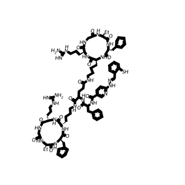 CC[C@@H]1NC(=O)CNC(=O)[C@H](CCCNC(=N)N)NC(=O)[C@H](CCCCNC(=O)CCC(NC(=O)C(Cc2ccccc2)NC(=O)c2ccc(NN=Cc3ccccc3S)nc2)C(=O)NCCCC[C@@H]2NC(=O)[C@@H](Cc3ccccc3)NC(=O)[C@H](CC)NC(=O)CNC(=O)[C@H](CCCNC(=N)N)NC2=O)NC(=O)[C@@H](Cc2ccccc2)NC1=O